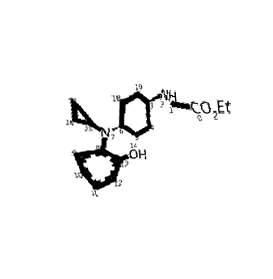 CCOC(=O)CN[C@H]1CC[C@H](N(c2ccccc2O)C2CC2)CC1